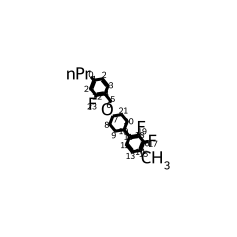 CCCc1ccc(COC2CCC(c3ccc(C)c(F)c3F)CC2)c(F)c1